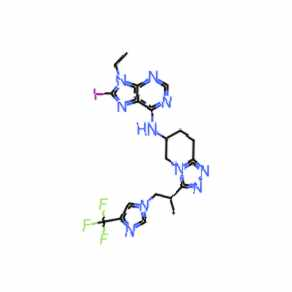 CCn1c(I)nc2c(NC3CCc4nnc(C(C)Cn5cnc(C(F)(F)F)c5)n4C3)ncnc21